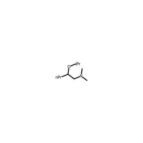 CCCC(CN(C)C)OC(C)C